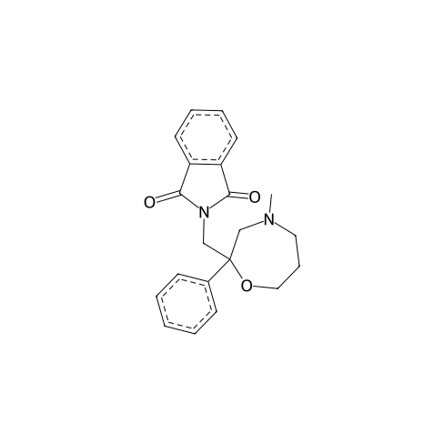 CN1CCCOC(CN2C(=O)c3ccccc3C2=O)(c2ccccc2)C1